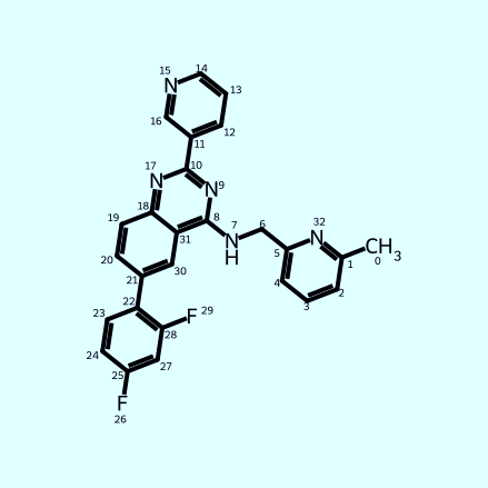 Cc1cccc(CNc2nc(-c3cccnc3)nc3ccc(-c4ccc(F)cc4F)cc23)n1